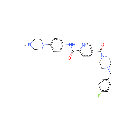 CN1CCN(c2ccc(NC(=O)c3ccc(C(=O)N4CCN(Cc5ccc(F)cc5)CC4)cn3)cc2)CC1